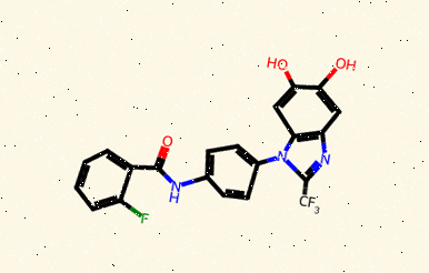 O=C(Nc1ccc(-n2c(C(F)(F)F)nc3cc(O)c(O)cc32)cc1)c1ccccc1F